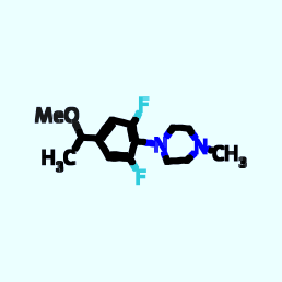 COC(C)c1cc(F)c(N2CCN(C)CC2)c(F)c1